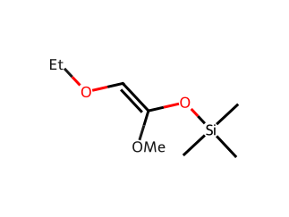 CCO/C=C(\OC)O[Si](C)(C)C